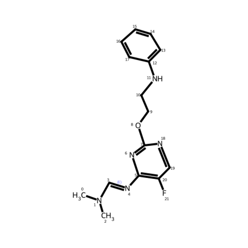 CN(C)/C=N/c1nc(OCCNc2ccccc2)ncc1F